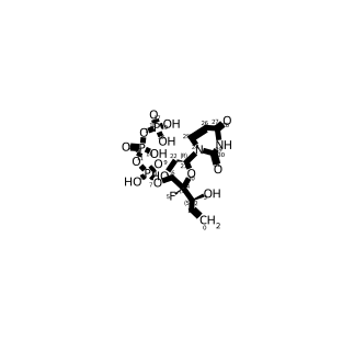 C=C[C@H](O)[C@@](F)(COP(=O)(O)OP(=O)(O)OP(=O)(O)O)O[C@H](CO)n1ccc(=O)[nH]c1=O